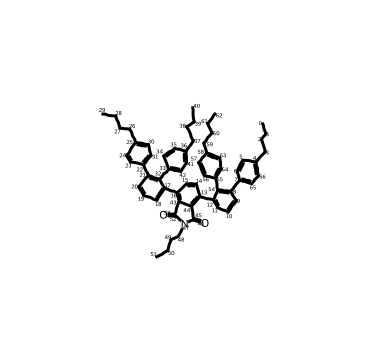 CCCCc1ccc(-c2cccc(-c3ccc(-c4cccc(-c5ccc(CCCC)cc5)c4-c4ccc(CCCC)cc4)c4c3C(=O)N(CCCC)C4=O)c2-c2ccc(CCCC)cc2)cc1